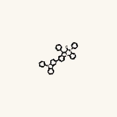 O=c1c2c(-c3ccccc3)c3cc(-c4ccc5c(c4)c4ccccc4n5-c4ccccc4)ccc3n2c2ccccc2n1-c1ccccc1